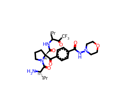 CC(C)C(NC(=O)[C@]1(C(=O)c2ccc(C(=O)NN3CCOCC3)cc2)CCCN1C(=O)[C@@H](N)C(C)C)C(=O)C(F)(F)F